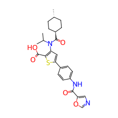 CC(C)N(c1cc(-c2ccc(NC(=O)c3cnco3)cc2)sc1C(=O)O)C(=O)[C@H]1CC[C@H](C)CC1